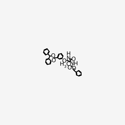 C[C@@]1(NC(=O)OCc2ccccc2)C(=O)N[C@H]1Oc1cccc(C(=O)OC(c2ccccc2)c2ccccc2)c1